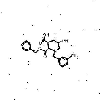 Cc1cccc(CN2C[C@H](O)C[C@H](C(=O)O)[C@H]2C(=O)OCc2ccccc2)c1